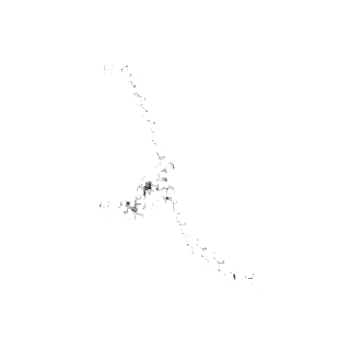 CC\C=C/C=C\C=C/C=C\C=C/CCCCCCCC(=O)O[C@H](COC(=O)CCCCCCCCCCCCCCCCC)COP(=O)([O-])OCC[N+](C)(C)C